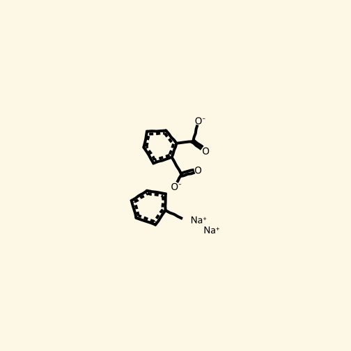 Cc1ccccc1.O=C([O-])c1ccccc1C(=O)[O-].[Na+].[Na+]